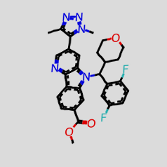 COC(=O)c1ccc2c3ncc(-c4c(C)nnn4C)cc3n(C(c3cc(F)ccc3F)C3CCOCC3)c2c1